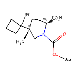 CC(C)C1([C@]2(C)C[C@@H](C(=O)O)N(C(=O)OC(C)(C)C)C2)CCC1